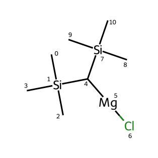 C[Si](C)(C)[CH]([Mg][Cl])[Si](C)(C)C